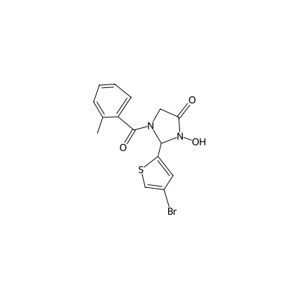 Cc1ccccc1C(=O)N1CC(=O)N(O)C1c1cc(Br)cs1